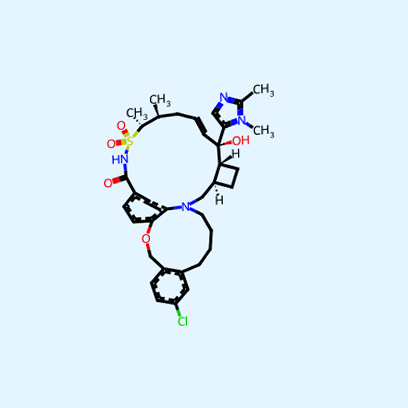 Cc1ncc([C@@]2(O)/C=C/C[C@H](C)[C@@H](C)S(=O)(=O)NC(=O)c3ccc4c(c3)N(CCCCc3cc(Cl)ccc3CO4)C[C@@H]3CC[C@H]32)n1C